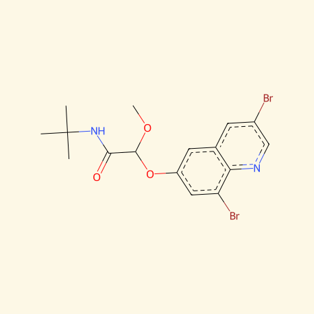 COC(Oc1cc(Br)c2ncc(Br)cc2c1)C(=O)NC(C)(C)C